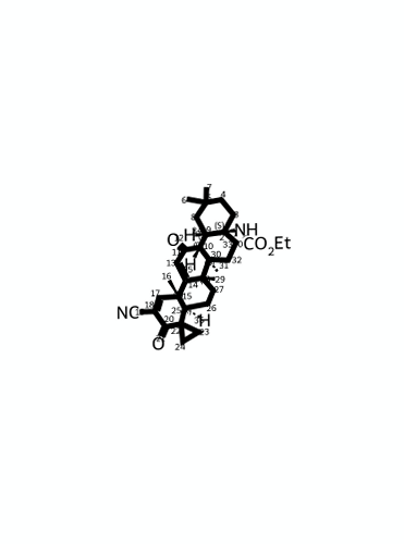 CCOC(=O)N[C@]12CCC(C)(C)C[C@H]1[C@H]1C(=O)C=C3[C@@]4(C)C=C(C#N)C(=O)C5(CC5)[C@@H]4CC[C@@]3(C)[C@]1(C)CC2